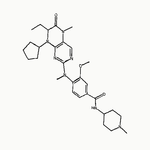 CCC1C(=O)N(C)c2cnc(N(C)c3ccc(C(=O)NC4CCN(C)CC4)cc3OC)nc2N1C1CCCC1